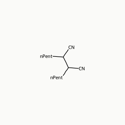 CCCCCC(C#N)C(C#N)CCCCC